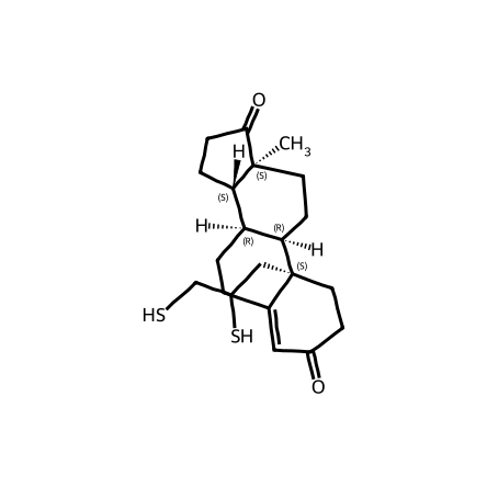 C[C@]12CC[C@@H]3[C@@H](CCC4=CC(=O)CC[C@@]43CC(S)CS)[C@@H]1CCC2=O